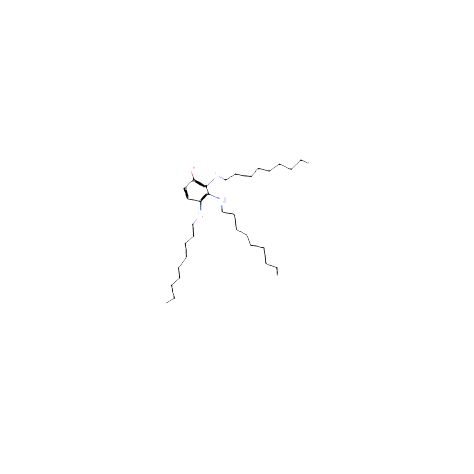 CCCCCCCCCNc1ccc(O)c(NCCCCCCCCC)c1NCCCCCCCCC